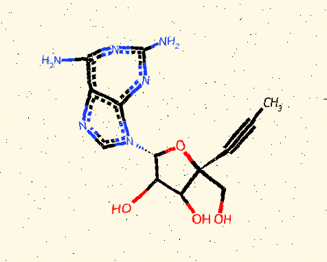 CC#C[C@]1(CO)O[C@@H](n2cnc3c(N)nc(N)nc32)C(O)C1O